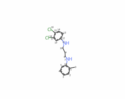 Cc1ccccc1NCCCNc1ccc(Cl)c(Cl)c1